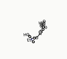 CC/C(=C(\c1ccc(O)cc1)c1ccc(OCCCCN2CCCN(c3ccc4c(c3)C(=O)N(C3CCC(=O)NC3=O)C4=O)CC2)cc1)c1ccccc1